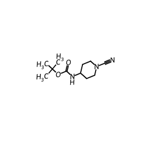 CC(C)(C)OC(=O)NC1CCN(C#N)CC1